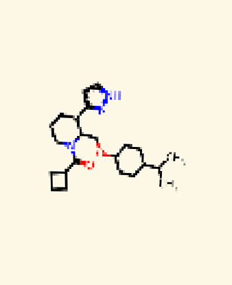 CC(C)C1CCC(OCC2C(c3cc[nH]n3)CCCN2C(=O)C2CCC2)CC1